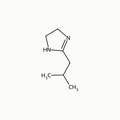 CC(C)CC1=NCCN1